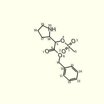 CS(=O)(=O)OC(C(=O)OCc1ccccc1)C1CCCN1